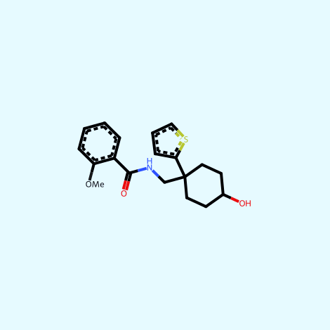 COc1ccccc1C(=O)NCC1(c2cccs2)CCC(O)CC1